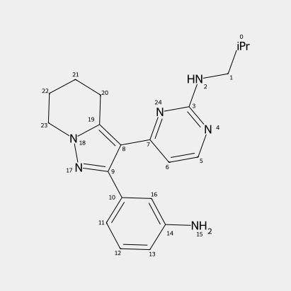 CC(C)CNc1nccc(-c2c(-c3cccc(N)c3)nn3c2CCCC3)n1